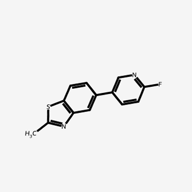 Cc1nc2cc(-c3ccc(F)nc3)ccc2s1